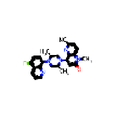 C[C@@H]1CN(c2cc(=O)n(C)c3ccc(C#N)nc23)[C@@H](C)CN1c1ccc(F)c2cccnc12